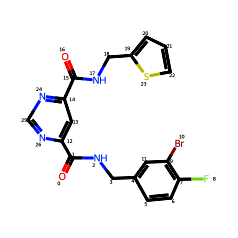 O=C(NCc1ccc(F)c(Br)c1)c1cc(C(=O)NCc2cccs2)ncn1